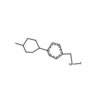 CC1CCC(c2ccc(CPF)cc2)CC1